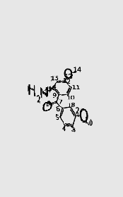 COc1cccc(C(=O)c2ccc(OC)cc2N)c1